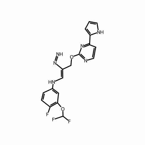 N=N/C(=C\Nc1ccc(F)c(OC(F)F)c1)COc1nccc(-c2ccc[nH]2)n1